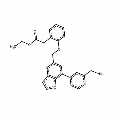 CCOC(=O)Cc1ccccc1OCc1cc(-c2ccnc(CN)c2)c2occc2n1